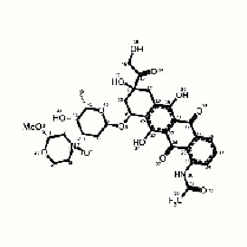 CO[C@@H]1C[N+]([O-])([C@H]2C[C@H](O[C@H]3C[C@](O)(C(=O)CO)Cc4c(O)c5c(c(O)c43)C(=O)c3c(NC(=O)C(F)(F)F)cccc3C5=O)O[C@@H](C)[C@H]2O)CCO1